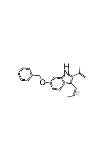 C=C(C)c1[nH]c2cc(OCc3ccccc3)ccc2c1/C=C\C